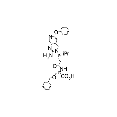 CC(C)[C@H](CCC(=O)N[C@@H](COCc1ccccc1)C(=O)O)N1Cc2cc(Oc3ccccc3)ncc2N=C1N